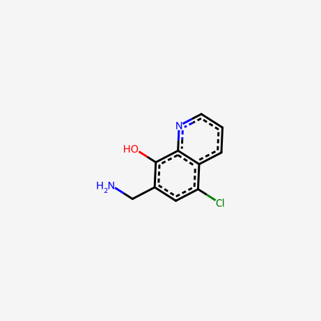 NCc1cc(Cl)c2cccnc2c1O